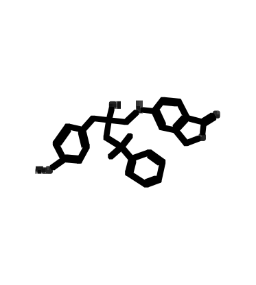 COc1ccc(CC(O)(CNc2ccc3c(c2)COC3=O)CC(C)(C)c2ccccc2)cc1